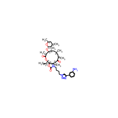 CC[C@H]1OC(=O)[C@H](C)[C@@H](O[C@H]2C[C@H](C)C[C@H](C)O2)[C@H](C)C[C@@H](C)C[C@@H](C)C(=O)[C@H](C)[C@@H]2N(CCCCn3cc(-c4cccc(N)c4)nn3)C(=O)O[C@@]21C